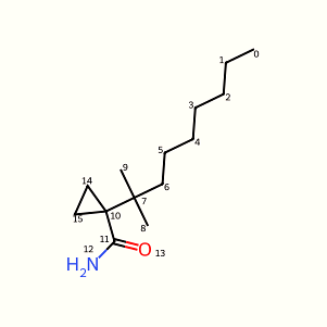 CCCCCCCC(C)(C)C1(C(N)=O)CC1